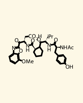 COc1cccc2nc(C(=O)[C@H](CC(=O)O)NC(=O)[C@@H]3CCCCC3C(=O)[C@@H](NC(=O)[C@H](Cc3ccc(O)cc3)NC(C)=O)C(C)C)oc12